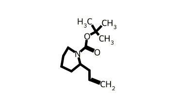 C=CCC1CCCCN1C(=O)OC(C)(C)C